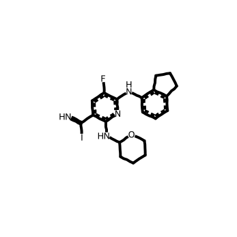 N=C(I)c1cc(F)c(Nc2cccc3c2CCC3)nc1NC1CCCCO1